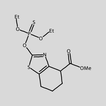 CCOP(=S)(OCC)Oc1nc2c(s1)CCCC2C(=O)OC